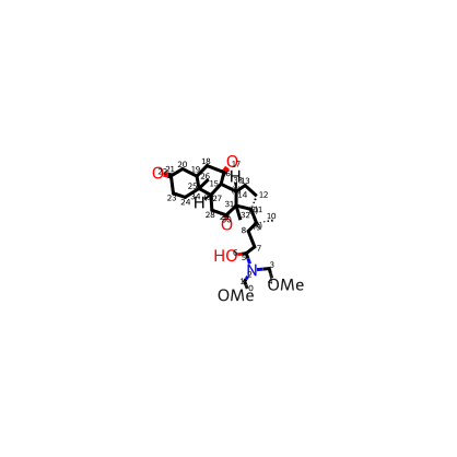 COCN(COC)C(O)CC[C@@H](C)[C@H]1CC[C@H]2C3C(=O)CC4CC(=O)CCC4(C)[C@H]3CC(=O)C12C